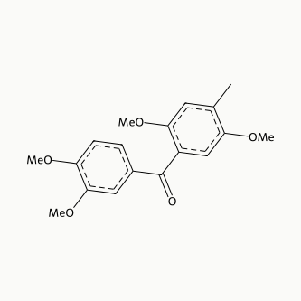 COc1cc(C(=O)c2ccc(OC)c(OC)c2)c(OC)cc1C